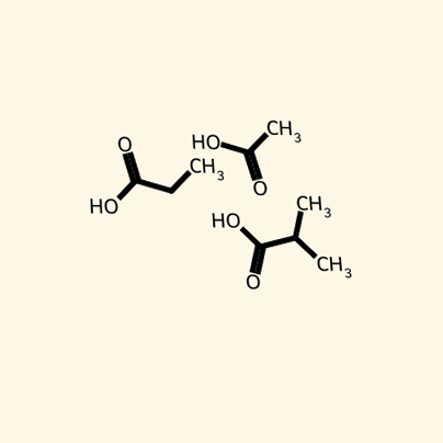 CC(=O)O.CC(C)C(=O)O.CCC(=O)O